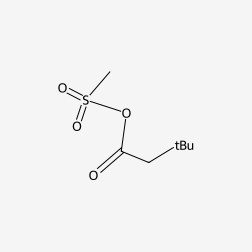 CC(C)(C)CC(=O)OS(C)(=O)=O